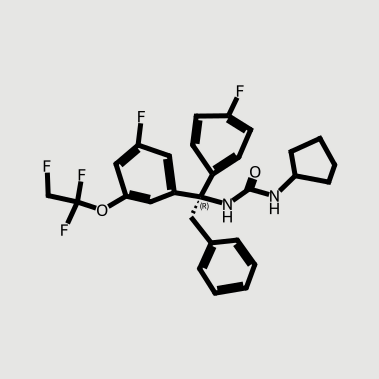 O=C(NC1CCCC1)N[C@](Cc1ccccc1)(c1ccc(F)cc1)c1cc(F)cc(OC(F)(F)CF)c1